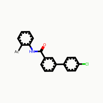 CC(=O)c1ccccc1NC(=O)c1cccc(-c2ccc(Cl)cc2)c1